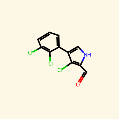 O=Cc1[nH]cc(-c2cccc(Cl)c2Cl)c1Cl